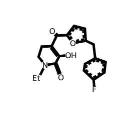 CCN1CCC(C(=O)c2ccc(Cc3ccc(F)cc3)o2)=C(O)C1=O